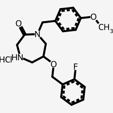 COc1ccc(CN2CC(OCc3ccccc3F)CNCC2=O)cc1.Cl